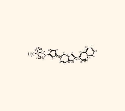 CC(C)(C)[Si](C)(C)OCc1cc(N2C=CC3=NC(c4cnc5ccccc5c4)=C[N+]3C2)cs1